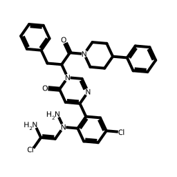 N/C(Cl)=C\N(N)c1ccc(Cl)cc1-c1cc(=O)n(C(Cc2ccccc2)C(=O)N2CCC(c3ccccc3)CC2)cn1